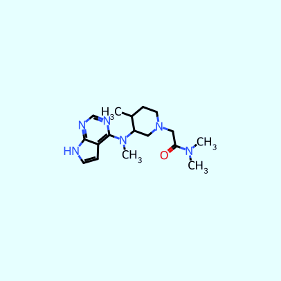 CC1CCN(CC(=O)N(C)C)CC1N(C)c1ncnc2[nH]ccc12